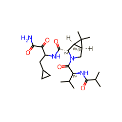 CC(C)C(=O)N[C@H](C(=O)N1C[C@H]2[C@@H]([C@H]1C(=O)NC(CC1CC1)C(=O)C(N)=O)C2(C)C)C(C)C